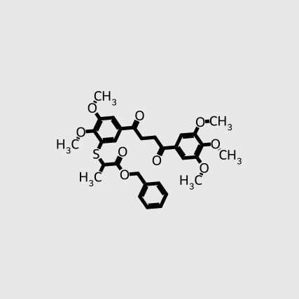 COc1cc(C(=O)CCC(=O)c2cc(OC)c(OC)c(SC(C)C(=O)OCc3ccccc3)c2)cc(OC)c1OC